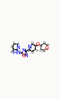 Cc1cccnc1Nc1nc(-c2ccc(OC3CCOCC3)cn2)no1